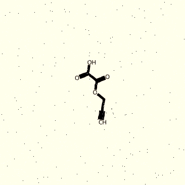 C#CCOC(=O)C(=O)O